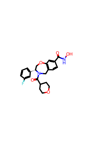 O=C(NO)c1ccc2c(c1)OC[C@@H](c1cccc(F)c1)N(C(=O)C1CCOCC1)C2